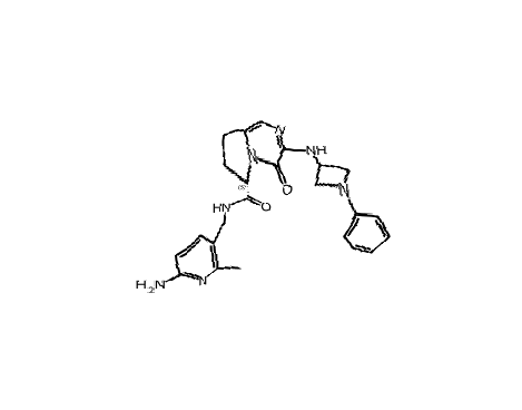 Cc1nc(N)ccc1CNC(=O)[C@@H]1CCc2cnc(NC3CN(c4ccccc4)C3)c(=O)n21